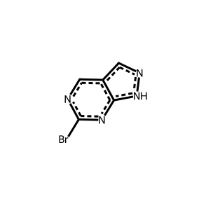 Brc1ncc2cn[nH]c2n1